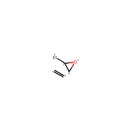 C=C.CCC1CO1